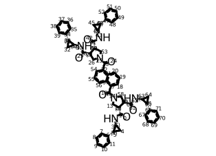 O=C(N[C@H]1C[C@@H]1c1ccccc1)[C@@H]1CN(C(=O)c2cccc3c(C(=O)N4C[C@@H](C(=O)N[C@H]5C[C@@H]5c5ccccc5)[C@H](C(=O)N[C@H]5C[C@@H]5c5ccccc5)C4)cccc23)C[C@H]1C(=O)N[C@H]1C[C@@H]1c1ccccc1